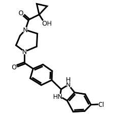 O=C(c1ccc(C2Nc3ccc(Cl)cc3N2)cc1)N1CCN(C(=O)C2(O)CC2)CC1